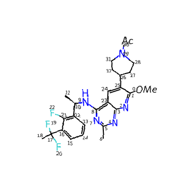 COc1nc2nc(C)nc(N[C@H](C)c3cccc(C(C)(F)F)c3F)c2cc1C1CCN(C(C)=O)CC1